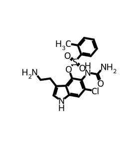 Cc1ccccc1S(=O)(=O)Oc1c(NC(N)=O)c(Cl)cc2[nH]cc(CCN)c12